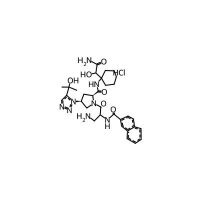 CC(C)(O)c1cnnn1[C@H]1C[C@@H](C(=O)NC2(C(O)C(N)=O)CCCCC2)N(C(=O)C(CN)NC(=O)c2ccc3ccccc3c2)C1.Cl